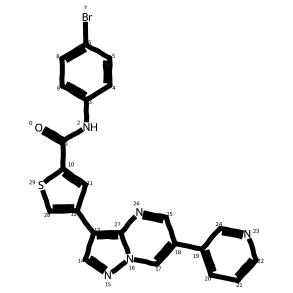 O=C(Nc1ccc(Br)cc1)c1cc(-c2cnn3cc(-c4cccnc4)cnc23)cs1